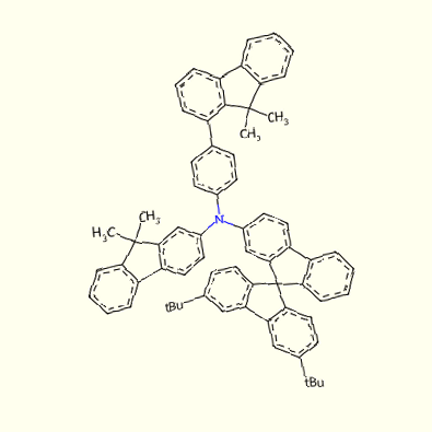 CC(C)(C)c1ccc2c(c1)-c1cc(C(C)(C)C)ccc1C21c2ccccc2-c2ccc(N(c3ccc(-c4cccc5c4C(C)(C)c4ccccc4-5)cc3)c3ccc4c(c3)C(C)(C)c3ccccc3-4)cc21